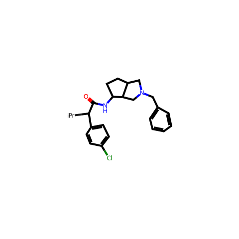 CC(C)C(C(=O)NC1CCC2CN(Cc3ccccc3)CC21)c1ccc(Cl)cc1